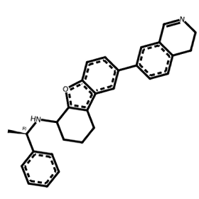 C[C@@H](NC1CCCc2c1oc1ccc(-c3ccc4c(c3)C=NCC4)cc21)c1ccccc1